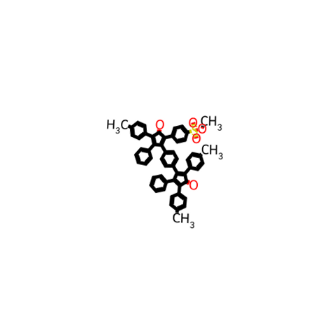 COS(=O)(=O)c1ccc(C2=C(c3ccc(C4=C(c5ccc(C)cc5)C(=O)C(c5ccc(C)cc5)=C4c4ccccc4)cc3)C(c3ccccc3)=C(c3ccc(C)cc3)C2=O)cc1